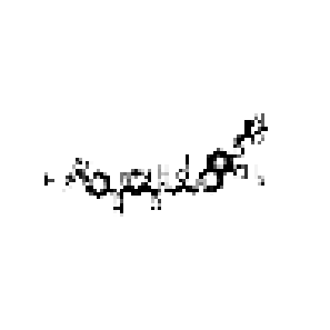 CC(=O)N(C)N1CCC(Nc2cc(C(=O)NC[C@H](O)CN3CCc4c(ccc(OCc5cnco5)c4C)C3)ncn2)CC1